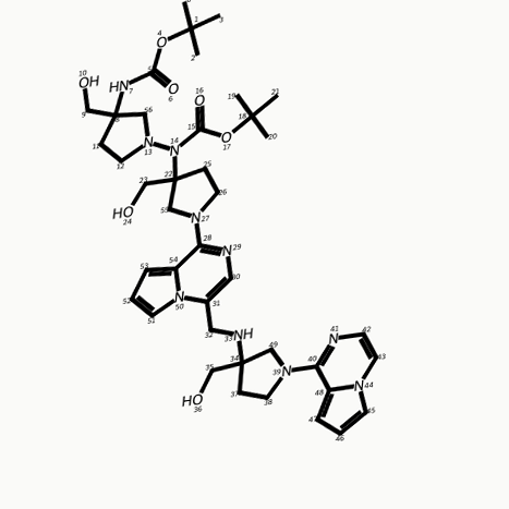 CC(C)(C)OC(=O)NC1(CO)CCN(N(C(=O)OC(C)(C)C)C2(CO)CCN(c3ncc(CNC4(CO)CCN(c5nccn6cccc56)C4)n4cccc34)C2)C1